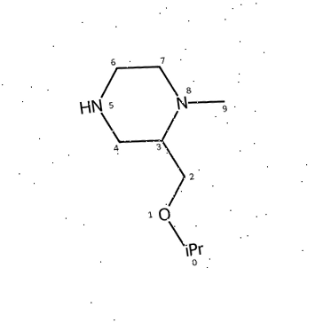 CC(C)OCC1CNCCN1C